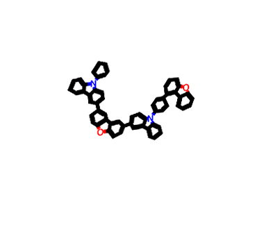 c1ccc(-n2c3ccccc3c3cc(-c4ccc5oc6ccc(-c7ccc8c(c7)c7ccccc7n8-c7ccc(-c8cccc9oc%10ccccc%10c89)cc7)cc6c5c4)ccc32)cc1